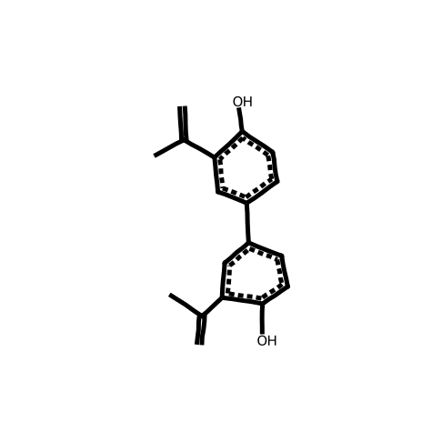 C=C(C)c1cc(-c2ccc(O)c(C(=C)C)c2)ccc1O